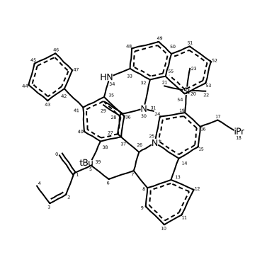 C=C(/C=C\C)CCC1c2ccccc2-c2cc(CC(C)C)c([Si](C)(C)C)c[n+]2C1CC(=C)N(C)c1c(Nc2ccc(C(C)(C)C)cc2-c2ccccc2)ccc2ccccc12